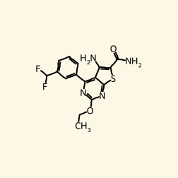 CCOc1nc(-c2cccc(C(F)F)c2)c2c(N)c(C(N)=O)sc2n1